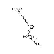 C=CC(O)(C/C=C/[C@H]1C=CC[C@@H]1CCCCCCCCOC(C)=O)CCCCCC